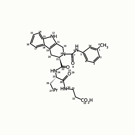 Cc1cccc(NC(=O)N2Cc3[nH]c4ccccc4c3C[C@@H]2C(=O)N[C@@H](CC(C)C)C(=O)NCCC(=O)O)c1